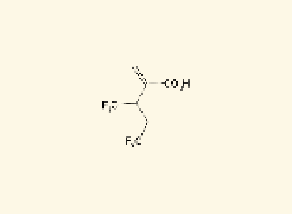 C=C(C(=O)O)C(CC(F)(F)F)C(F)(F)F